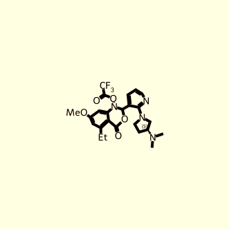 CCc1cc(OC)cc2c1C(=O)OC(c1cccnc1N1CC[C@H](N(C)C)C1)N2OC(=O)C(F)(F)F